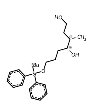 C[C@@H](CCO)[C@H](O)CCCO[Si](c1ccccc1)(c1ccccc1)C(C)(C)C